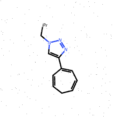 CC(C)Cn1cc(C2=CC=CCC=C2)nn1